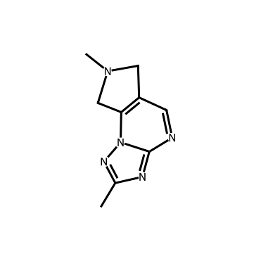 Cc1nc2ncc3c(n2n1)CN(C)C3